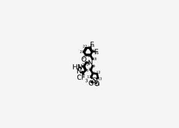 O=C(c1cc(C(F)(F)F)n[nH]1)N(CCC1CCS(=O)(=O)C1)Cc1cccc(F)c1F